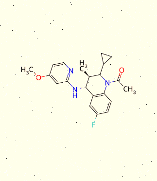 COc1ccnc(N[C@H]2c3cc(F)ccc3N(C(C)=O)C(C3CC3)[C@@H]2C)c1